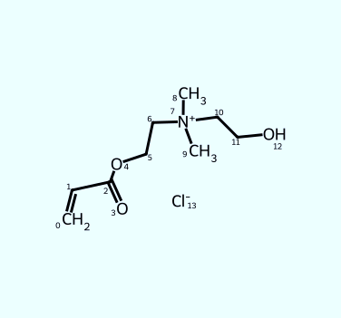 C=CC(=O)OCC[N+](C)(C)CCO.[Cl-]